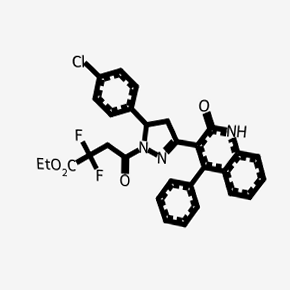 CCOC(=O)C(F)(F)CC(=O)N1N=C(c2c(-c3ccccc3)c3ccccc3[nH]c2=O)CC1c1ccc(Cl)cc1